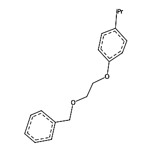 CC(C)c1ccc(OCCOCc2ccccc2)cc1